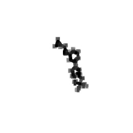 FC(F)(F)Cn1cc(-c2cccc(OCC3CC3)c2)cn1